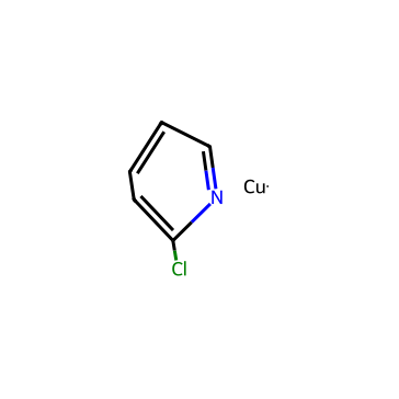 Clc1ccccn1.[Cu]